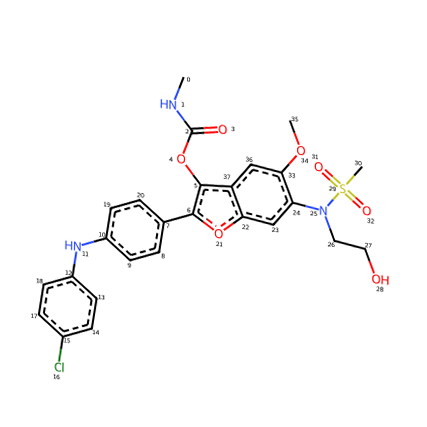 CNC(=O)Oc1c(-c2ccc(Nc3ccc(Cl)cc3)cc2)oc2cc(N(CCO)S(C)(=O)=O)c(OC)cc12